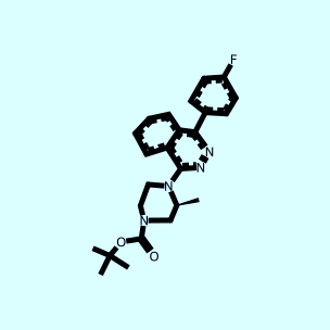 C[C@H]1CN(C(=O)OC(C)(C)C)CCN1c1nnc(-c2ccc(F)cc2)c2ccccc12